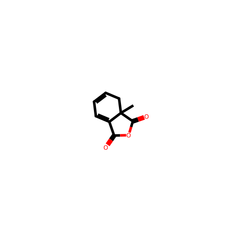 CC12CC=CC=C1C(=O)OC2=O